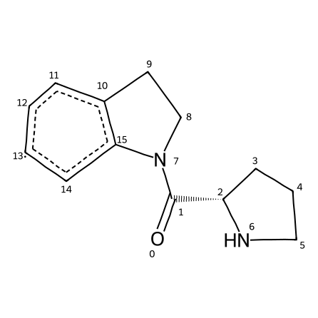 O=C([C@@H]1CCCN1)N1CCc2cc[c]cc21